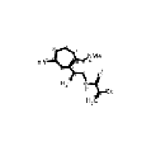 C=C(CC)C(=O)NCC(C)C1=C(CNC)CCCC(CCC)C1